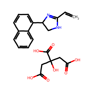 C=CC1=NC(c2cccc3ccccc23)CN1.O=C(O)CC(O)(CC(=O)O)C(=O)O